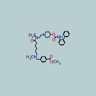 COC(=O)c1ccc(CN(C)CCCCCC(=O)N(C)CCN2CCC(OC(=O)Nc3ccccc3-c3ccccc3)CC2)cc1